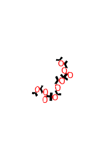 CC(C)OC(C)COC(=O)C(C)(C)OC(C)COCC(C)OC(C)(C)C(=O)OCC(C)OC(C)C